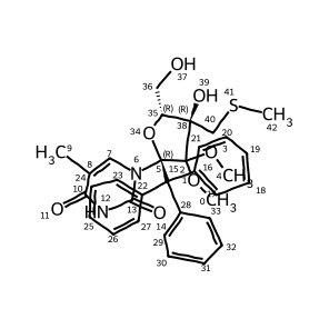 COC1(OC)[C@@](n2cc(C)c(=O)[nH]c2=O)(C(c2ccccc2)(c2ccccc2)c2ccccc2)O[C@H](CO)[C@]1(O)CSC